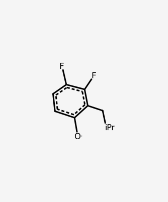 CC(C)Cc1c([O])ccc(F)c1F